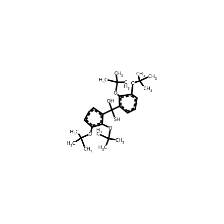 CC(C)(C)Oc1cccc(C(O)(S)c2cccc(OC(C)(C)C)c2OC(C)(C)C)c1OC(C)(C)C